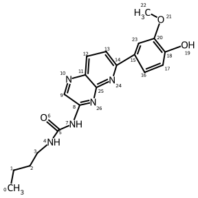 CCCCNC(=O)Nc1cnc2ccc(-c3ccc(O)c(OC)c3)nc2n1